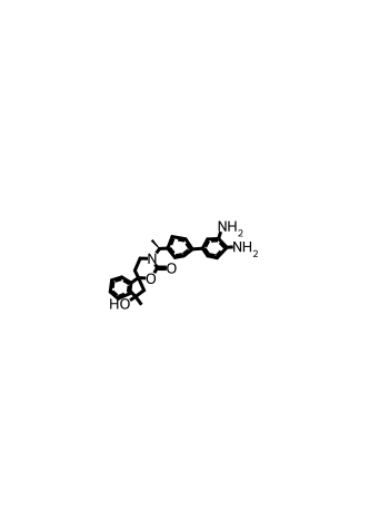 C[C@@H](c1ccc(-c2ccc(N)c(N)c2)cc1)N1CCC(CC(C)(C)O)(c2ccccc2)OC1=O